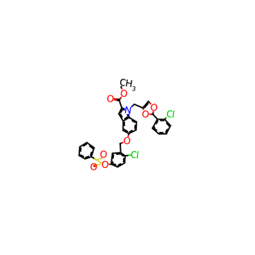 CCOC(=O)c1cc2cc(OCc3cc(OS(=O)(=O)c4ccccc4)ccc3Cl)ccc2n1CC1=COC(c2ccccc2Cl)O1